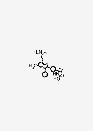 Cc1cc(/C=C/C(N)=O)c2nc(-c3ccc(C4(NC(=O)O)CCC4)cc3)c(-c3ccccc3)n2c1